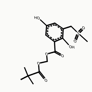 CC(C)(C)C(=O)OCOC(=O)c1cc(O)cc(CS(C)(=O)=O)c1O